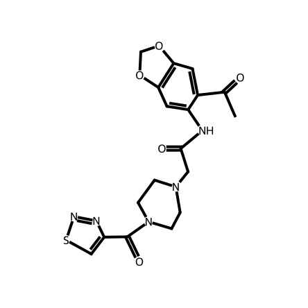 CC(=O)c1cc2c(cc1NC(=O)CN1CCN(C(=O)c3csnn3)CC1)OCO2